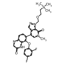 Cn1cc(-c2ccc3ncc(=O)[nH]c3c2Oc2ccc(F)cc2F)c2cnn(COCC[Si](C)(C)C)c2c1=O